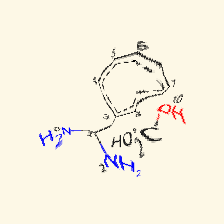 NC(N)c1ccccc1.O=C(O)O